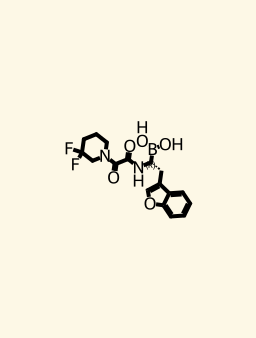 O=C(N[C@@H](Cc1coc2ccccc12)B(O)O)C(=O)N1CCCC(F)(F)C1